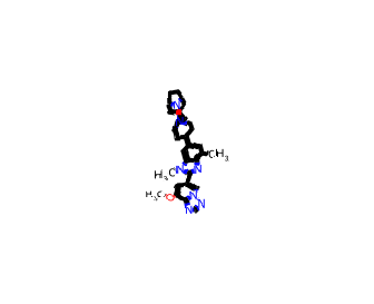 COc1cc(-c2nc3c(C)cc(C4CCN(C5CC6CCC(C5)N6C5CC5)CC4)cc3n2C)cn2ncnc12